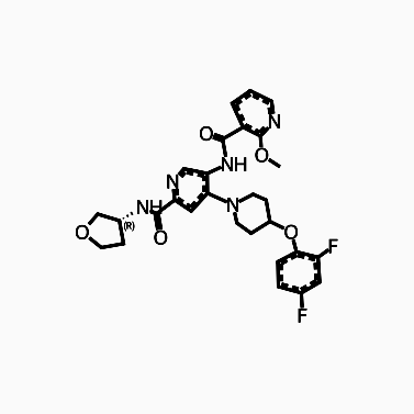 COc1ncccc1C(=O)Nc1cnc(C(=O)N[C@@H]2CCOC2)cc1N1CCC(Oc2ccc(F)cc2F)CC1